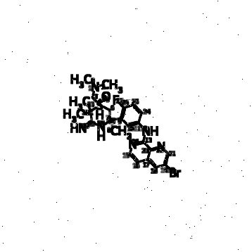 CN(C)C[SH]1(=O)C[C@@](C)(c2cc(Nc3nccc4cc(Br)cnc34)ccc2F)NC(=N)C1(C)C